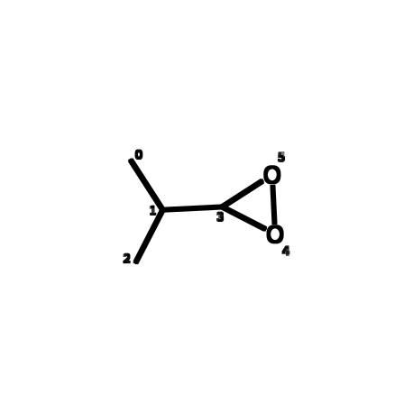 CC(C)C1OO1